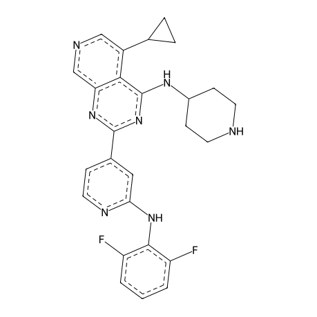 Fc1cccc(F)c1Nc1cc(-c2nc(NC3CCNCC3)c3c(C4CC4)cncc3n2)ccn1